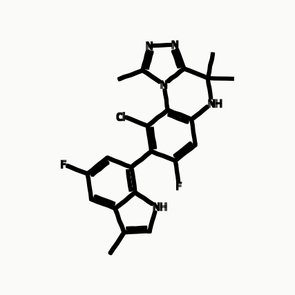 Cc1c[nH]c2c(-c3c(F)cc4c(c3Cl)-n3c(C)nnc3C(C)(C)N4)cc(F)cc12